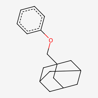 c1ccc(OCC23CC4CC(CC(C4)C2)C3)cc1